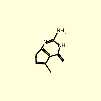 C=C1NC(N)=NC2=C1C(C)=CC2